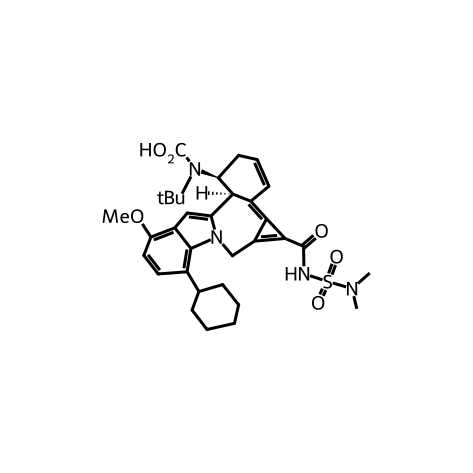 COc1ccc(C2CCCCC2)c2c1cc1n2CC2=C(C(=O)NS(=O)(=O)N(C)C)C2=C2C=CC[C@H](N(C(=O)O)C(C)(C)C)[C@@H]21